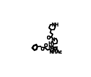 CC(=O)N[C@H](CC(=O)OCc1ccccc1)NC(=O)[C@@H]1CCCN(C(=O)CCC2CCNCC2)C1.Cl